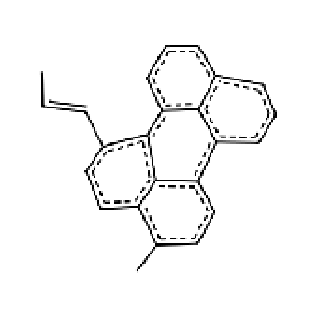 CC=Cc1ccc2c(C)ccc3c4cccc5cccc(c1c23)c54